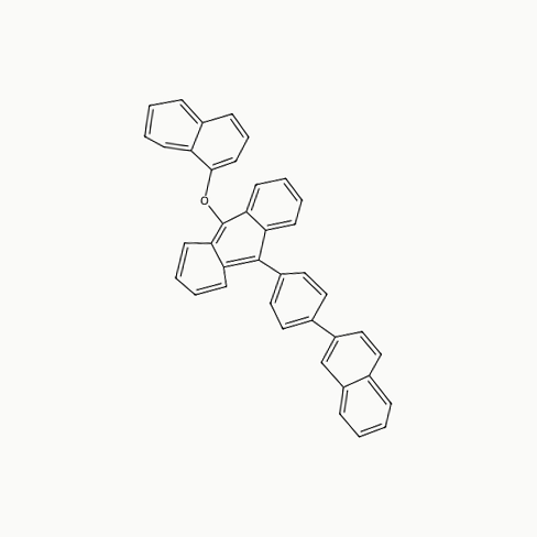 c1ccc2cc(-c3ccc(-c4c5ccccc5c(Oc5cccc6ccccc56)c5ccccc45)cc3)ccc2c1